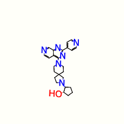 O[C@H]1CCC[C@@H]1N1CCC2(CCN(c3nc(-c4ccncc4)nc4cnccc34)CC2)C1